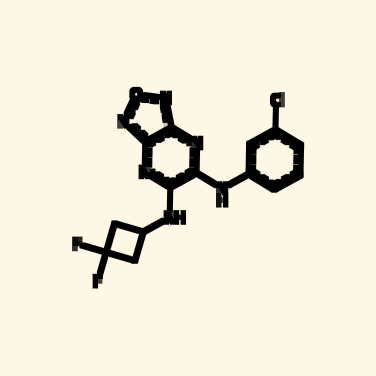 FC1(F)CC(Nc2nc3nonc3nc2Nc2cccc(Cl)c2)C1